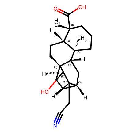 C[C@@]12CCC[C@@](C)(C(=O)O)[C@H]1CC[C@@]13CC[C@@H](C[C@@H]21)[C@H](CC#N)[C@H]3O